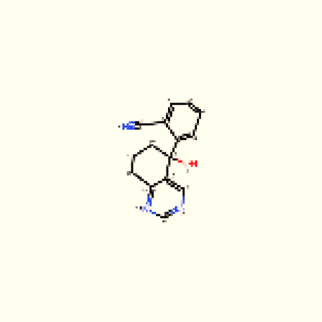 N#Cc1ccccc1C1(O)CCCc2ncncc21